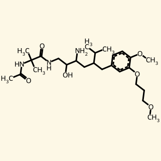 COCCCOc1cc(CC(CC(N)C(O)CNC(=O)C(C)(C)NC(C)=O)C(C)C)ccc1OC